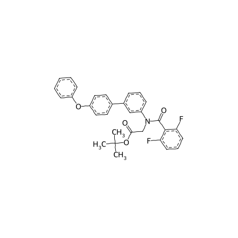 CC(C)(C)OC(=O)CN(C(=O)c1c(F)cccc1F)c1cccc(-c2ccc(Oc3ccccc3)cc2)c1